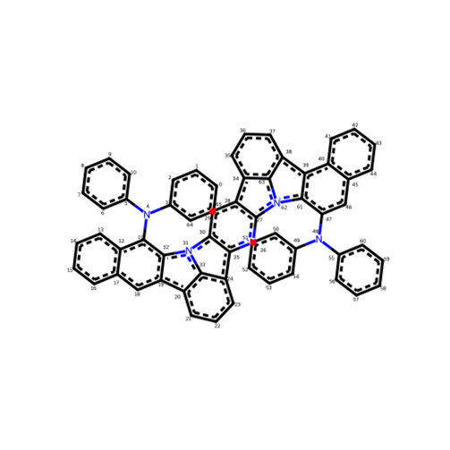 c1ccc(N(c2ccccc2)c2c3ccccc3cc3c4cccc5c6nc7c(cc6n(c23)c45)c2cccc3c4c5ccccc5cc(N(c5ccccc5)c5ccccc5)c4n7c23)cc1